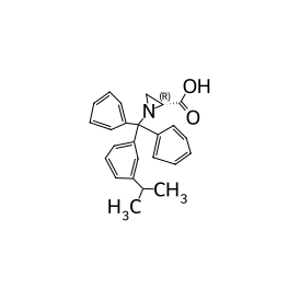 CC(C)c1cccc(C(c2ccccc2)(c2ccccc2)N2C[C@@H]2C(=O)O)c1